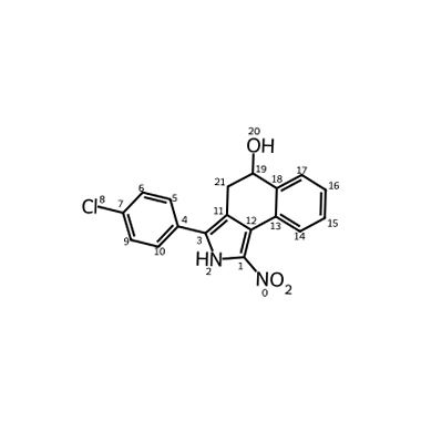 O=[N+]([O-])c1[nH]c(-c2ccc(Cl)cc2)c2c1-c1ccccc1C(O)C2